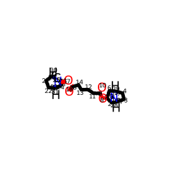 CN1[C@@H]2CC[C@H]1CC(OC(=O)CCCCC(=O)OC1C[C@H]3CC[C@@H](C1)N3C)C2